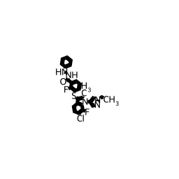 CCn1cc(-n2c(C)c(Sc3cccc(C(=O)NNc4ccccc4)c3F)c3ccc(Cl)c(F)c32)cn1